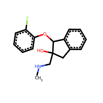 CNCC1(O)Cc2ccccc2C1Oc1ccccc1F